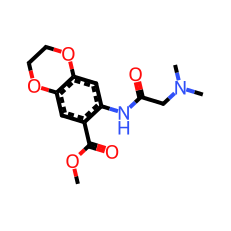 COC(=O)c1cc2c(cc1NC(=O)CN(C)C)OCCO2